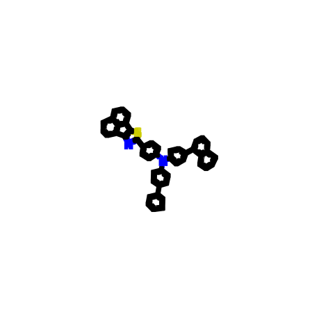 c1ccc(-c2ccc(N(c3ccc(-c4nc5c(s4)-c4cccc6cccc-5c46)cc3)c3ccc(-c4cccc5ccccc45)cc3)cc2)cc1